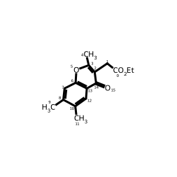 CCOC(=O)Cc1c(C)oc2cc(C)c(C)cc2c1=O